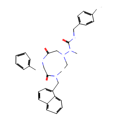 COc1ccc(CNC(=O)N(C)N2CCN(Cc3cccc4ccccc34)C(=O)[C@H](Cc3ccccc3)NC(=O)C2)cc1